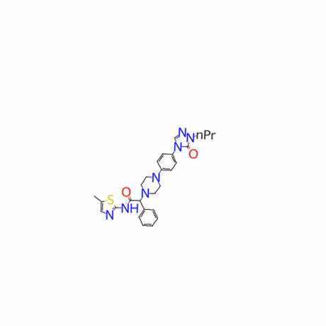 CCCn1ncn(-c2ccc(N3CCN(C(C(=O)Nc4ncc(C)s4)c4ccccc4)CC3)cc2)c1=O